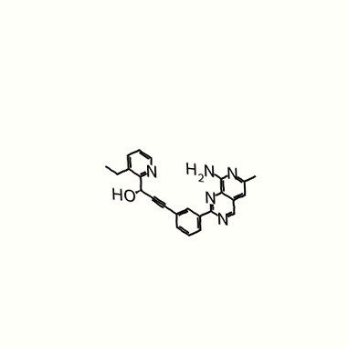 CCc1cccnc1[C@H](O)C#Cc1cccc(-c2ncc3cc(C)nc(N)c3n2)c1